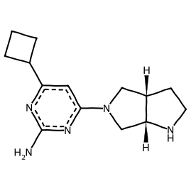 Nc1nc(C2CCC2)cc(N2C[C@@H]3CCN[C@@H]3C2)n1